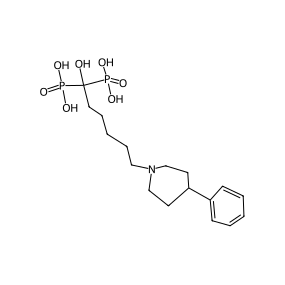 O=P(O)(O)C(O)(CCCCCN1CCC(c2ccccc2)CC1)P(=O)(O)O